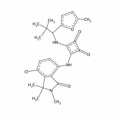 Cc1ccc(C(Nc2c(Nc3ccc(Cl)c4c3C(=O)N(C)C4(C)C)c(=O)c2=O)C(C)(C)C)o1